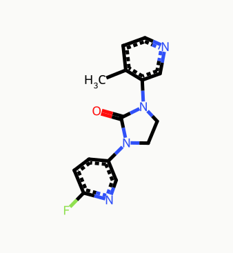 Cc1ccncc1N1CCN(c2ccc(F)nc2)C1=O